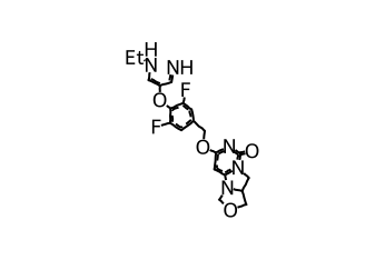 CCN/C=C(\C=N)Oc1c(F)cc(COc2cc3n(c(=O)n2)CC2COCN32)cc1F